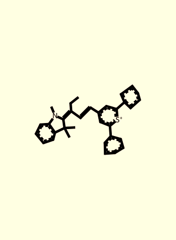 CCC(C=Cc1cc(-c2ccccc2)[s+]c(-c2ccccc2)c1)=C1N(C)c2ccccc2C1(C)C